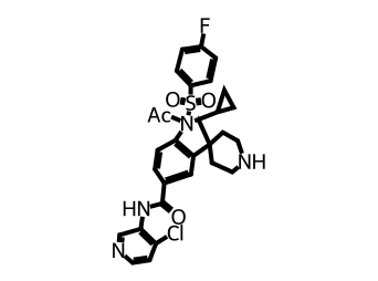 CC(=O)[N+]1(S(=O)(=O)c2ccc(F)cc2)c2ccc(C(=O)Nc3cnccc3Cl)cc2C2(CCNCC2)C1C1CC1